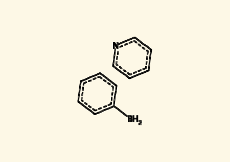 Bc1ccccc1.c1ccncc1